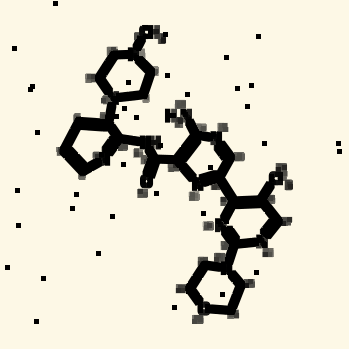 CN1CCN(c2cccnc2NC(=O)c2nc(-c3nc(N4CCOCC4)ncc3C(F)(F)F)cnc2N)CC1